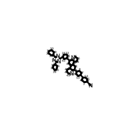 N#Cc1ccc(-c2ccc(-c3cc4c5cccnc5c(-c5cccc(-c6nc(-c7ccccc7)nc(-c7ccccc7)n6)c5)cc4c4cccnc34)cc2)cc1